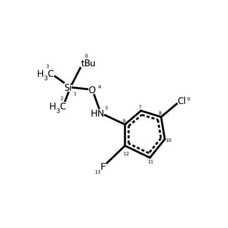 CC(C)(C)[Si](C)(C)ONc1cc(Cl)ccc1F